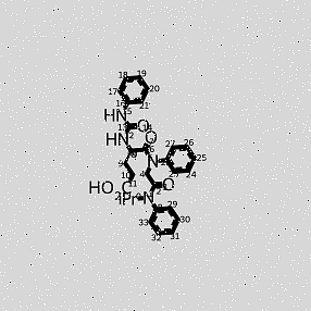 CC(C)N(C(=O)CN(C(=O)[C@@H](CCC(=O)O)NC(=O)Nc1ccccc1)c1ccccc1)c1ccccc1